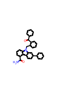 NC(=O)c1cccc2c1c1[c]cc(-c3ccccc3)cc1n2Cc1ccccc1C(=O)c1ccccc1